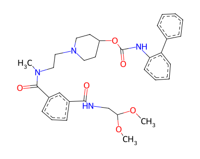 COC(CNC(=O)c1cccc(C(=O)N(C)CCN2CCC(OC(=O)Nc3ccccc3-c3ccccc3)CC2)c1)OC